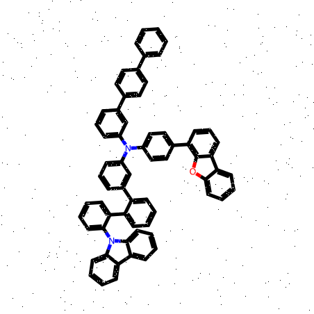 c1ccc(-c2ccc(-c3cccc(N(c4ccc(-c5cccc6c5oc5ccccc56)cc4)c4cccc(-c5ccccc5-c5ccccc5-n5c6ccccc6c6ccccc65)c4)c3)cc2)cc1